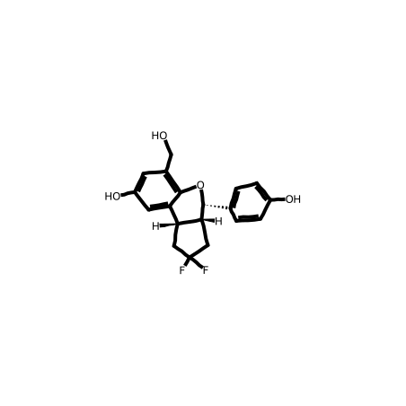 OCc1cc(O)cc2c1O[C@H](c1ccc(O)cc1)[C@@H]1CC(F)(F)C[C@H]21